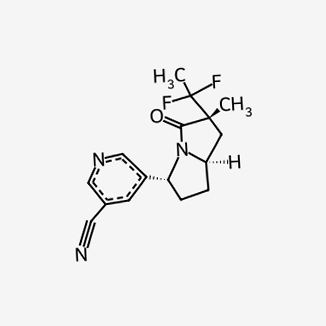 CC(F)(F)[C@]1(C)C[C@H]2CC[C@H](c3cncc(C#N)c3)N2C1=O